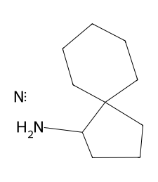 NC1CCCC12CCCCC2.[N]